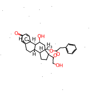 C[C@]12C=CC(=O)C=C1CC[C@@H]1[C@@H]2[C@@H](O)C[C@@]2(C)[C@H]1CC[C@]2(OC(=O)Cc1ccccc1)C(=O)CO